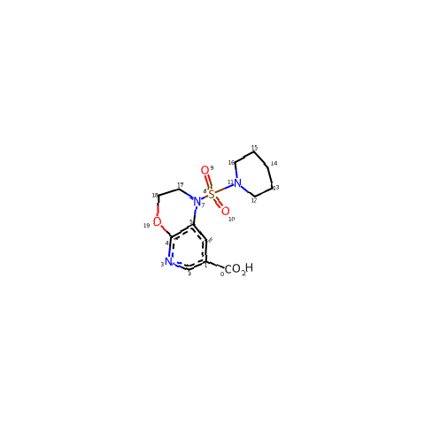 O=C(O)c1cnc2c(c1)N(S(=O)(=O)N1CCCCC1)CCO2